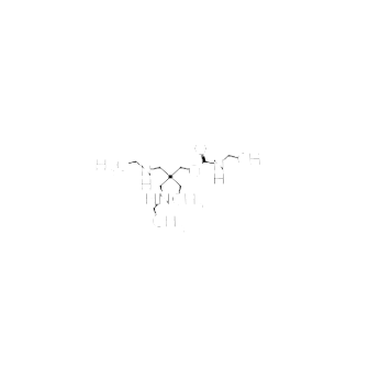 CCNCC(CC)(CNCC)COC(=O)NCC